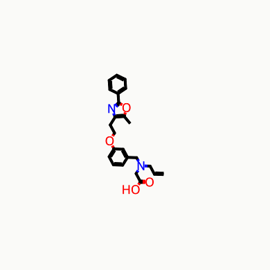 C=CCN(CC(=O)O)Cc1cccc(OCCc2nc(-c3ccccc3)oc2C)c1